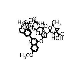 C=C[C@@H]1C[C@]1(NC(=O)[C@@H]1C[C@@H](Oc2cc(-c3ccc4c(c3)CCN4C)nc3cc(OC)ccc23)CN1C(=O)[C@@H](NC(=O)OC(C)(C)C)C(C)C)C(=O)O